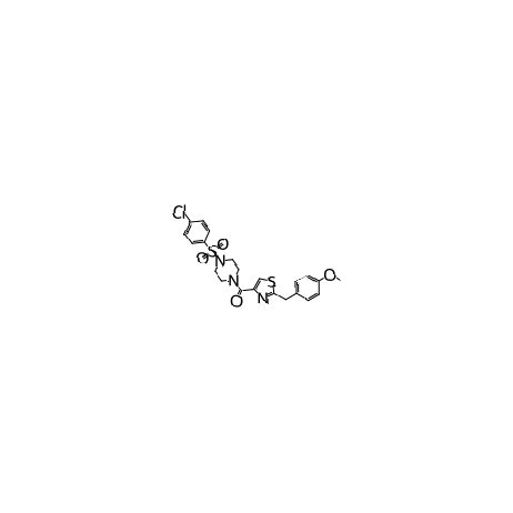 COc1ccc(Cc2nc(C(=O)N3CCN(S(=O)(=O)c4ccc(Cl)cc4)CC3)cs2)cc1